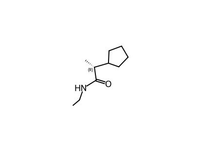 CCNC(=O)[C@H](C)C1CCCC1